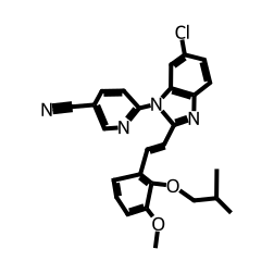 COc1cccc(C=Cc2nc3ccc(Cl)cc3n2-c2ccc(C#N)cn2)c1OCC(C)C